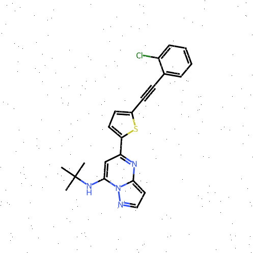 CC(C)(C)Nc1cc(-c2ccc(C#Cc3ccccc3Cl)s2)nc2ccnn12